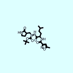 Cc1cc(C(=O)NC(CCC(C)C)C(=O)NN(CC2CCNC2=O)C(=O)OC(C)(C)C)no1